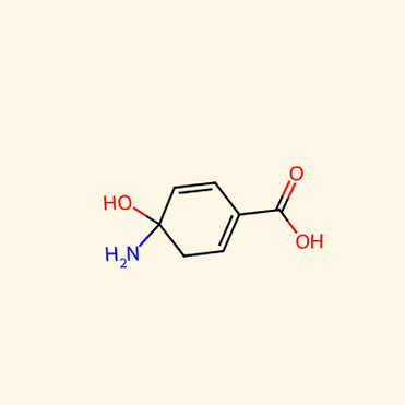 NC1(O)C=CC(C(=O)O)=CC1